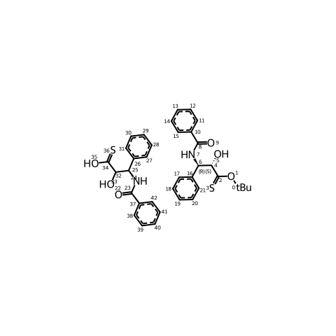 CC(C)(C)OC(=S)[C@@H](O)[C@H](NC(=O)c1ccccc1)c1ccccc1.O=C(NC(c1ccccc1)C(O)C(O)=S)c1ccccc1